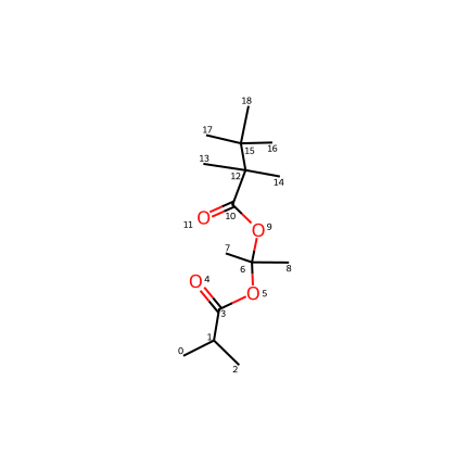 CC(C)C(=O)OC(C)(C)OC(=O)C(C)(C)C(C)(C)C